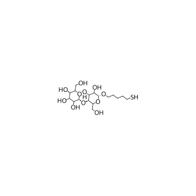 OCC1O[C@@H](O[C@@H]2C(CO)O[C@@H](OCCCCCS)C(O)C2O)C(O)C(O)[C@H]1O